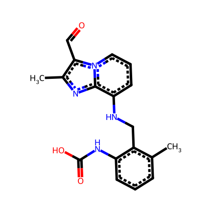 Cc1cccc(NC(=O)O)c1CNc1cccn2c(C=O)c(C)nc12